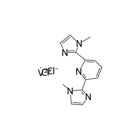 Cn1ccnc1-c1cccc(-c2nccn2C)n1.[Cl-].[Cl-].[V+2]